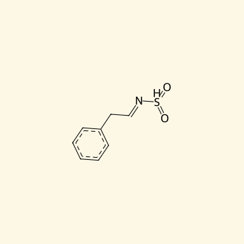 O=[SH](=O)N=CCc1ccccc1